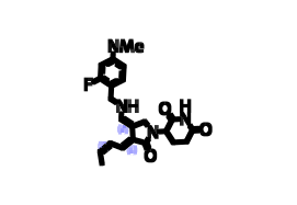 C\C=C/C=C1/C(=O)N(C2CCC(=O)NC2=O)C/C1=C\NCc1ccc(NC)cc1F